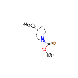 COC1CCN(C(=S)OC(C)(C)C)CC1